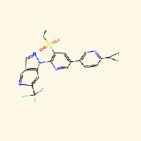 CCS(=O)(=O)c1cc(-c2ccc(C3CC3)nc2)cnc1-n1ncc2cnc(C(F)(F)F)cc21